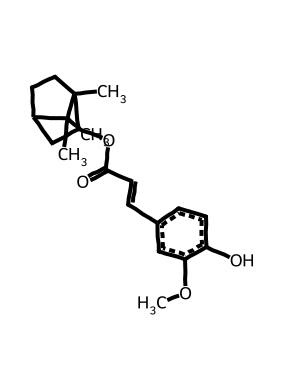 COc1cc(C=CC(=O)OC2CC3CCC2(C)C3(C)C)ccc1O